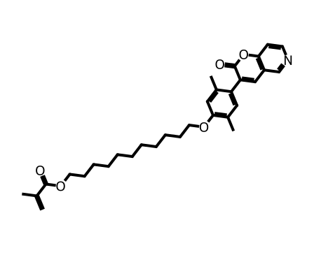 C=C(C)C(=O)OCCCCCCCCCCCOc1cc(C)c(-c2cc3cnccc3oc2=O)cc1C